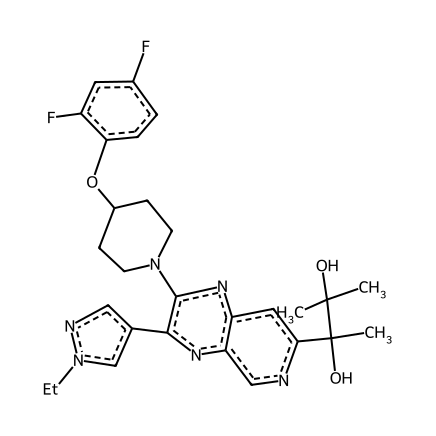 CCn1cc(-c2nc3cnc(C(C)(O)C(C)(C)O)cc3nc2N2CCC(Oc3ccc(F)cc3F)CC2)cn1